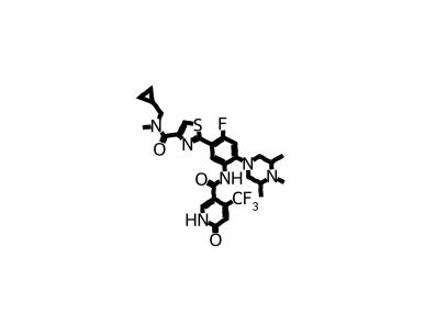 CC1CN(c2cc(F)c(-c3nc(C(=O)N(C)CC4CC4)cs3)cc2NC(=O)c2c[nH]c(=O)cc2C(F)(F)F)CC(C)N1C